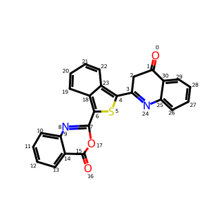 O=C1CC(c2sc(-c3nc4ccccc4c(=O)o3)c3ccccc23)=Nc2ccccc21